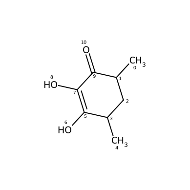 CC1CC(C)C(O)=C(O)C1=O